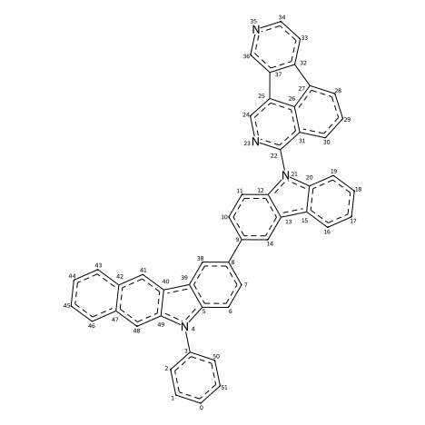 c1ccc(-n2c3ccc(-c4ccc5c(c4)c4ccccc4n5-c4ncc5c6c(cccc46)-c4ccncc4-5)cc3c3cc4ccccc4cc32)cc1